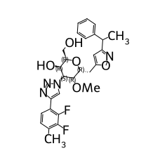 CO[C@@H]1[C@@H](n2cc(-c3ccc(C)c(F)c3F)nn2)[C@@H](O)[C@@H](CO)O[C@@H]1Cc1cc(C(C)c2ccccc2)no1